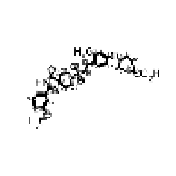 Cc1cc(OC2CCN(C(=O)O)CC2)ccc1CCS(=O)(=O)N1CCC2(CC1)N=C(c1cccc(OC(F)(F)F)c1)NC2=O